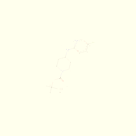 CN(c1ccc(Cl)cn1)C1CCN(C(=O)OC(C)(C)C)CC1